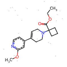 CCOC(=O)C1(N2CC=C(c3ccnc(OC)c3)CC2)CCC1